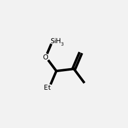 C=C(C)C(CC)O[SiH3]